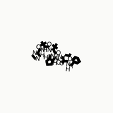 CCC[C@H](NC(=O)[C@@H]1[C@H]2CCC[C@H]2CN1C(=O)[C@@H](NC(=O)[C@@H](NC(=O)C1=NCCN=C1)C(C)(C)C)C(C)(C)C)C(=O)C(=O)N[C@@H](C)c1ccccc1